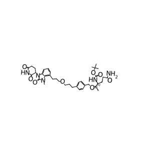 C[C@@H](OCc1ccc(CCCOCCCc2cccc3c2n(C)c(=O)n3C2CCC(=O)NC2=O)cc1)[C@H](CCC(N)=O)NC(=O)OC(C)(C)C